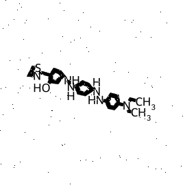 CCN(CC)c1ccc(NNc2ccc(NNc3ccc(-c4nccs4)c(O)c3)cc2)cc1